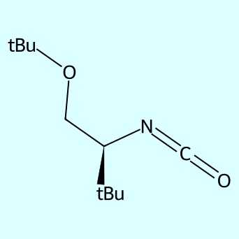 CC(C)(C)OC[C@@H](N=C=O)C(C)(C)C